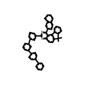 CC1(C)c2ccccc2-c2c1ccc1nc(-c3cccc(-c4cccc(-c5ccc(-c6ccccc6)cc5)c4)c3)nc(-c3ccc4ccccc4c3)c21